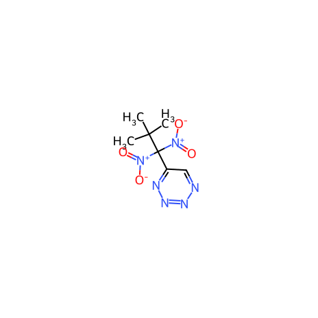 CC(C)(C)C(c1cnnnn1)([N+](=O)[O-])[N+](=O)[O-]